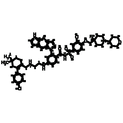 CC1(C)CCC(CNCCNc2ccc(C(=O)NS(=O)(=O)c3ccc(OCC4(F)CCN(C5CCOCC5)CC4)c(Cl)c3)c(-n3ncc4nc5[nH]ccc5cc43)c2)=C(c2ccc(Cl)cc2)C1